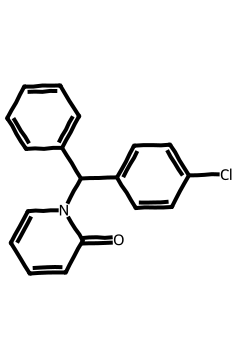 O=c1ccccn1C(c1ccccc1)c1ccc(Cl)cc1